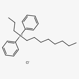 CCCCCCCC[N+](CCC)(c1ccccc1)c1ccccc1.[Cl-]